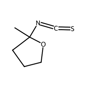 CC1(N=C=S)CCCO1